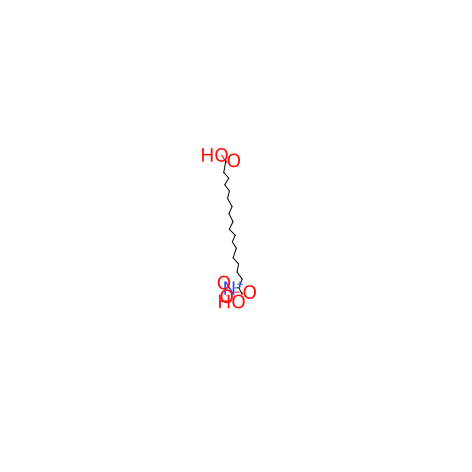 O=C(O)CCCCCCCCCCCCCCCCC(C(=O)O)[N+](=O)[O-]